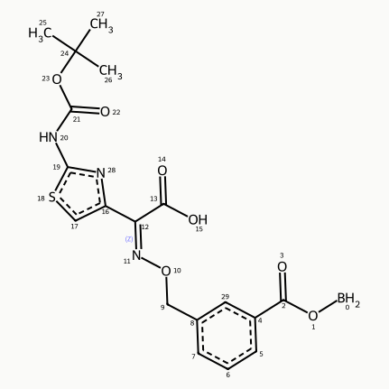 BOC(=O)c1cccc(CO/N=C(\C(=O)O)c2csc(NC(=O)OC(C)(C)C)n2)c1